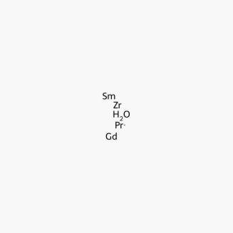 O.[Gd].[Pr].[Sm].[Zr]